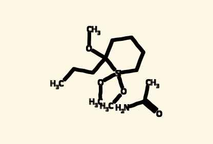 CC(N)=O.CCCC1(OC)CCCC[Si]1(OC)OC